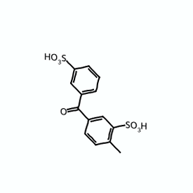 Cc1ccc(C(=O)c2cccc(S(=O)(=O)O)c2)cc1S(=O)(=O)O